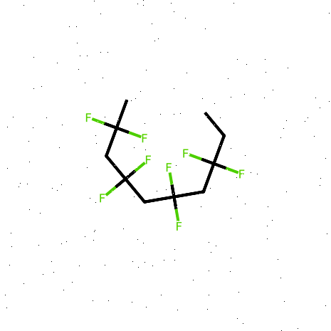 CCC(F)(F)CC(F)(F)CC(F)(F)CC(C)(F)F